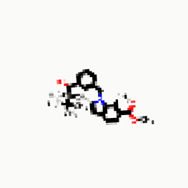 COC(=O)c1ccc2ccn(Cc3cccc(C(O)[Si](C)(C)C(C)(C)C)c3)c2c1C